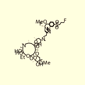 CC[C@H]1OC(=O)[C@H](C)[C@@H](O[C@H]2C[C@@](C)(OC)C(O)[C@H](C)O2)[C@H](C)[C@@H](O[C@H]2C[C@@H](N(C)CCc3cn([C@H](CF)[C@H](OC)c4ccc(S(=O)(=O)CCCF)cc4)nn3)C[C@@H](C)O2)[C@](C)(O)C[C@@H](C)CN(C)[C@H](C)[C@@H](O)[C@]1(C)O